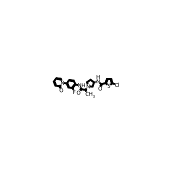 CC(C(=O)Nc1ccc(-n2ccccc2=O)cc1F)N1CC[C@@H](NC(=O)c2ccc(Cl)s2)C1